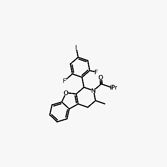 CC(C)C(=O)N1C(C)Cc2c(oc3ccccc23)C1c1c(F)cc(I)cc1F